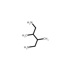 CC(CN)C(C)CN